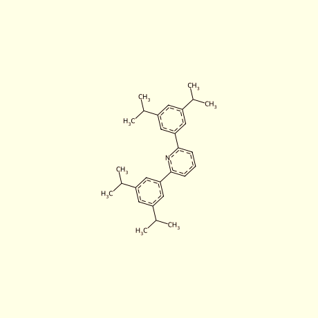 CC(C)c1cc(-c2cccc(-c3cc(C(C)C)cc(C(C)C)c3)n2)cc(C(C)C)c1